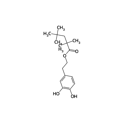 CC(C)(C)CC(C)(C)C(=O)OCCc1ccc(O)c(O)c1